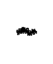 Cc1ccc(-c2nnc(NC(=O)c3cccc(OC(F)(F)F)c3)o2)s1